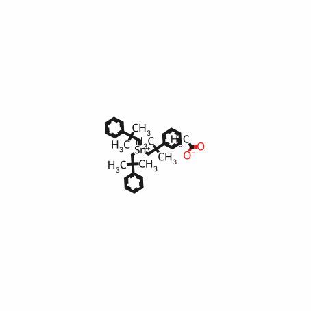 CC(=O)[O-].CC(C)([CH2][Sn+]([CH2]C(C)(C)c1ccccc1)[CH2]C(C)(C)c1ccccc1)c1ccccc1